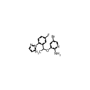 CC(Oc1cc(Br)cnc1N)c1cc(F)ccc1-n1cccn1